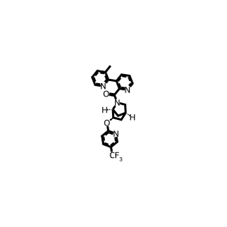 Cc1cccnc1-c1cccnc1C(=O)N1C[C@H]2C[C@@H](Oc3ccc(C(F)(F)F)cn3)[C@@H]1C2